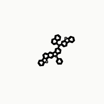 c1ccc(-n2c3ccc(N(c4ccc5c(c4)oc4ccccc45)c4cccc5ccccc45)cc3c3cc4ccc5c6ccccc6oc5c4cc32)cc1